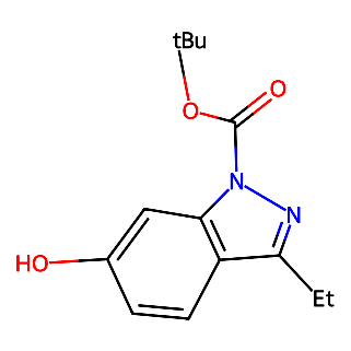 CCc1nn(C(=O)OC(C)(C)C)c2cc(O)ccc12